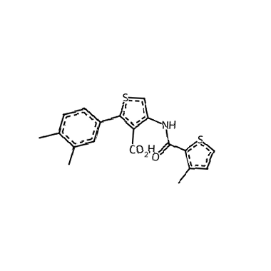 Cc1ccc(-c2scc(NC(=O)c3sccc3C)c2C(=O)O)cc1C